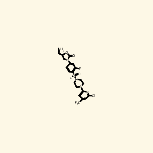 NCC1CN(c2ccc(S(=O)(=O)N3CCN(c4cc(C(F)(F)F)cc(Cl)n4)CC3)c(F)c2)C(=O)O1